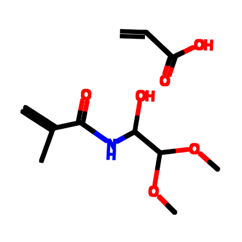 C=C(C)C(=O)NC(O)C(OC)OC.C=CC(=O)O